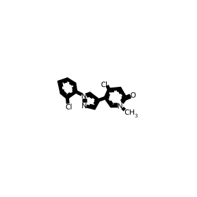 Cn1cc(-c2cnn(-c3ccccc3Cl)c2)c(Cl)cc1=O